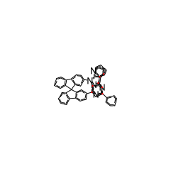 c1ccc(-c2nc(-c3ccccc3)nc(-c3ccc4c(c3)C3(c5ccccc5-4)c4ccccc4-c4ccc(-n5c6ccccc6c6cccnc65)cc43)n2)cc1